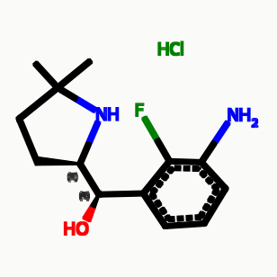 CC1(C)CC[C@H]([C@H](O)c2cccc(N)c2F)N1.Cl